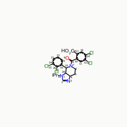 CC(C)N1C=NC2CCN(C(=O)c3cc(Cl)c(Cl)cc3C(=O)O)C(c3cccc(Cl)c3Cl)C21